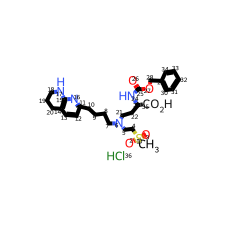 CS(=O)(=O)CCN(CCCCc1ccc2c(n1)NCCC2)CCC(NC(=O)OCc1ccccc1)C(=O)O.Cl